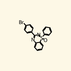 O=S1(c2ccccc2)=NC(c2ccc(Br)cc2)=Nc2ccccc21